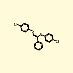 Clc1ccc(S/C=C(\Sc2ccc(Cl)cc2)c2ccccc2)cc1